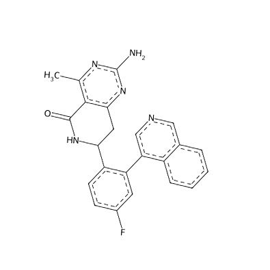 Cc1nc(N)nc2c1C(=O)NC(c1ccc(F)cc1-c1cncc3ccccc13)C2